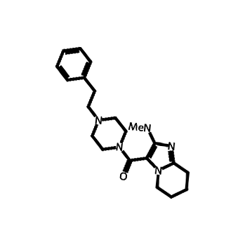 CNc1nc2n(c1C(=O)N1CCN(CCc3ccccc3)CC1)CCCC2